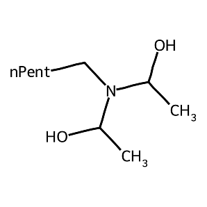 [CH2]CCCCCN(C(C)O)C(C)O